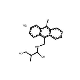 CC(CO)C(O)NCc1c2ccccc2c(Cl)c2ccccc12.Cl